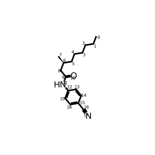 CCCCCC[C@H](C)CC(=O)Nc1ccc(C#N)cc1